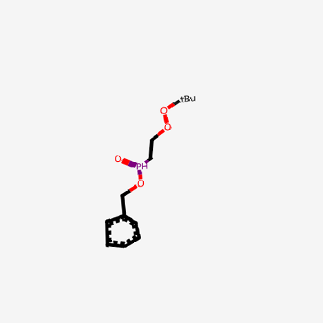 CC(C)(C)OOCC[PH](=O)OCc1ccccc1